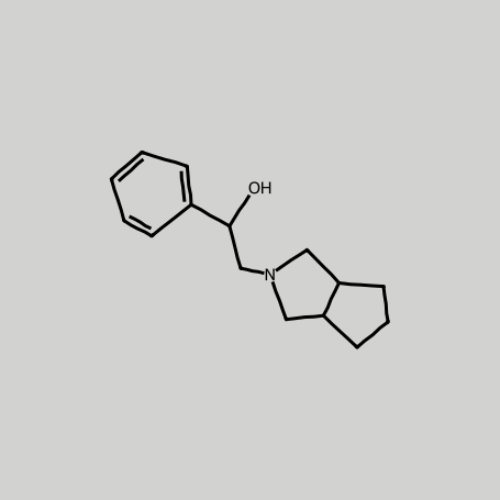 OC(CN1CC2CCCC2C1)c1ccccc1